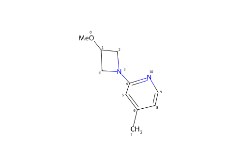 COC1CN(c2cc(C)ccn2)C1